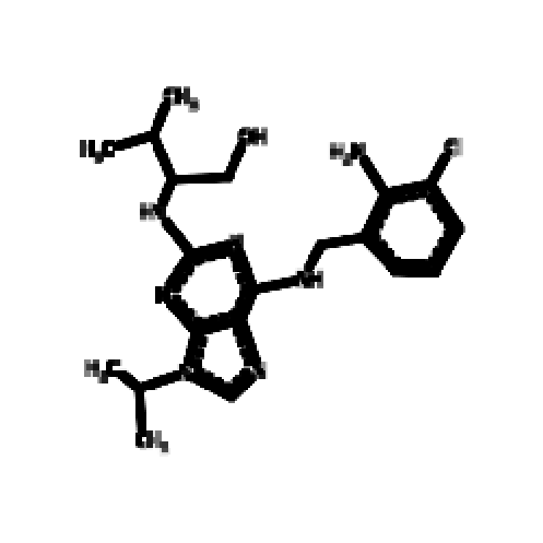 CC(C)C(CO)Nc1nc(NCc2cccc(Cl)c2N)c2ncn(C(C)C)c2n1